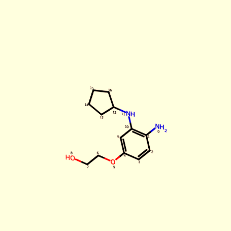 Nc1ccc(OCCO)cc1NC1CCCC1